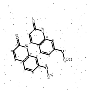 CCCCCCCCOc1ccc2ccc(=O)oc2c1.CCCOc1ccc2ccc(=O)oc2c1